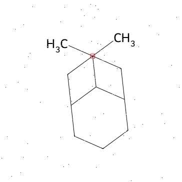 CC(C)C1C2CCCC1CCC2